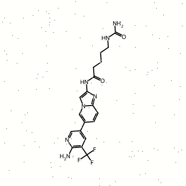 NC(=O)NCCCCC(=O)Nc1cn2cc(-c3cnc(N)c(C(F)(F)F)c3)ccc2n1